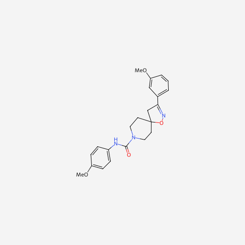 COc1ccc(NC(=O)N2CCC3(CC2)CC(c2cccc(OC)c2)=NO3)cc1